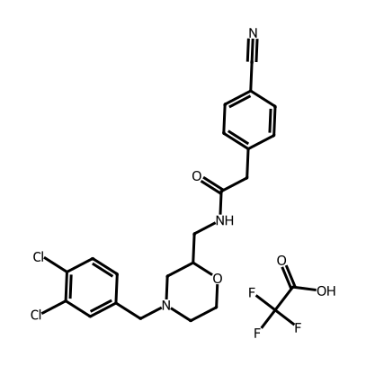 N#Cc1ccc(CC(=O)NCC2CN(Cc3ccc(Cl)c(Cl)c3)CCO2)cc1.O=C(O)C(F)(F)F